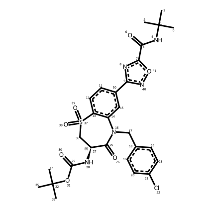 CC(C)(C)NC(=O)c1nc(-c2ccc3c(c2)N(Cc2ccc(Cl)cc2)C(=O)[C@@H](NC(=O)OC(C)(C)C)CS3(=O)=O)no1